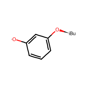 CC[C@H](C)Oc1cccc([O])c1